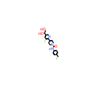 O=C(Nc1ccc(CF)cc1)N1CC=C(c2ncc([C@H](O)CO)cc2F)CC1